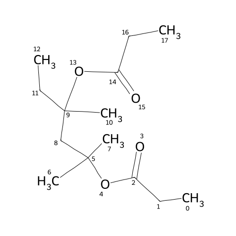 CCC(=O)OC(C)(C)CC(C)(CC)OC(=O)CC